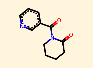 O=C1CCCCN1C(=O)c1cccnc1